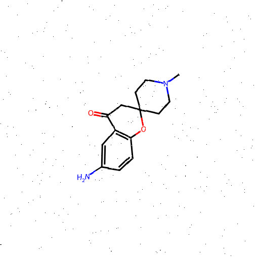 CN1CCC2(CC1)CC(=O)c1cc(N)ccc1O2